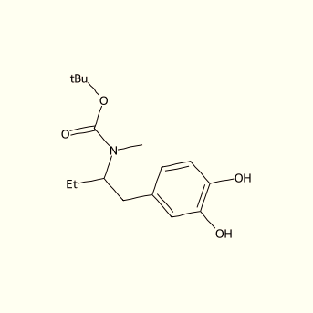 CCC(Cc1ccc(O)c(O)c1)N(C)C(=O)OC(C)(C)C